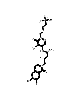 C[C@@H](C[C@@H](F)Cn1ccc2cc(Br)c(F)cc2c1=O)Nc1cnn(COCC[Si](C)(C)C)c(=O)c1C(F)(F)F